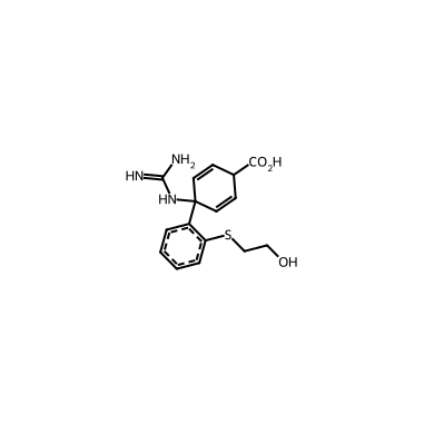 N=C(N)NC1(c2ccccc2SCCO)C=CC(C(=O)O)C=C1